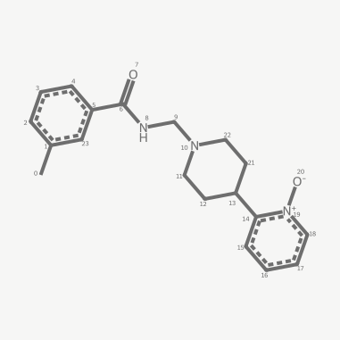 Cc1cccc(C(=O)NCN2CCC(c3cccc[n+]3[O-])CC2)c1